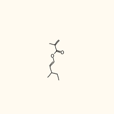 C=C(C)C(=O)OC=CC(C)CC